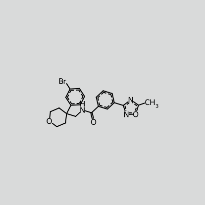 Cc1nc(-c2cccc(C(=O)NCC3(c4cccc(Br)c4)CCOCC3)c2)no1